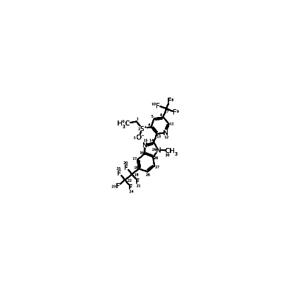 CC[S+]([O-])c1cc(C(F)(F)F)cnc1-c1nc2cc(C(F)(F)C(F)(F)F)ccc2n1C